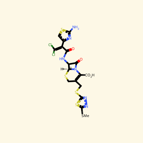 CSc1nnc(SCC2=C(C(=O)O)N3C(=O)C(NC(=O)C(=C(Cl)Cl)c4csc(N)n4)[C@@H]3SC2)s1